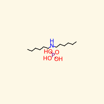 CCCCCCNCCCCCC.O=P(O)(O)O